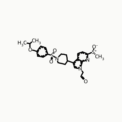 CC(C)Oc1ccc(S(=O)(=O)N2CCC(c3cn(CC=O)c4nc([S+](C)[O-])ccc34)CC2)cc1